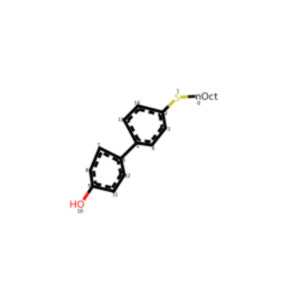 CCCCCCCCSc1ccc(-c2ccc(O)cc2)cc1